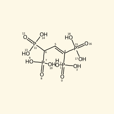 O=P(O)(O)C(=CC(P(=O)(O)O)P(=O)(O)O)P(=O)(O)O